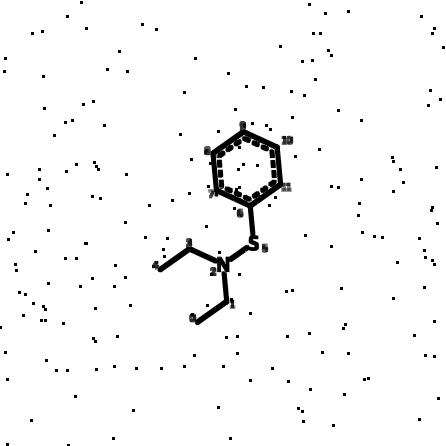 CCN(CC)Sc1[c]cccc1